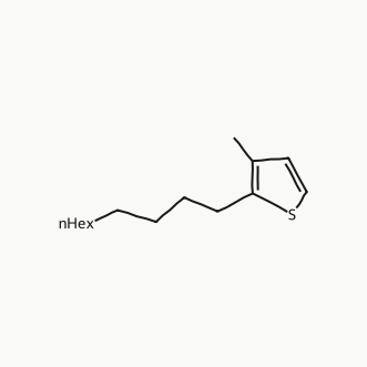 CCCCCCCCCCc1sccc1C